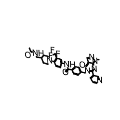 CC(=O)NCC1CCN(c2ccc(NC(=O)c3ccc(C)c(Oc4nc(-c5cccnc5)nc5c4cnn5C)c3)cc2C(F)(F)F)CC1